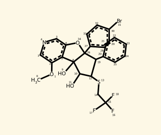 COc1cncc2c1C1(O)C(O)C(SCC(F)(F)F)C(c3ccccc3)C1(c1ccc(Br)cc1)O2